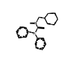 C=C(N(C)CC1CCCCC1)N(c1ccccc1)c1ccccc1